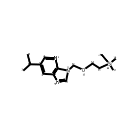 CC(C)c1cnc2c(c1)ncn2COCC[Si](C)(C)C